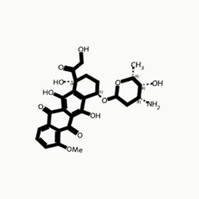 COc1cccc2c1C(=O)c1c(O)c3c(c(O)c1C2=O)[C@@](O)(C(=O)CO)CC[C@@H]3OC1C[C@@H](N)[C@@H](O)[C@@H](C)O1